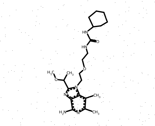 COC(C)c1nc2c(N)nc(C)c(C)c2n1CCOCCNC(=O)NC1CCCCC1